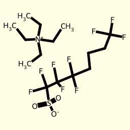 CC[N+](CC)(CC)CC.O=S(=O)([O-])C(F)(F)C(F)(F)C(F)(F)CCCC(F)(F)F